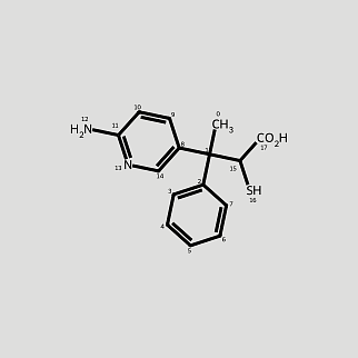 CC(c1ccccc1)(c1ccc(N)nc1)C(S)C(=O)O